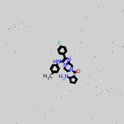 Cc1ccc(Nc2c(-c3ccc(F)cc3)nc3n2CCN(C(=O)[C@@H]2CCCC2N)C3)cc1